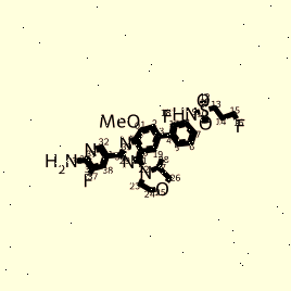 COc1cc(-c2cccc(NS(=O)(=O)CCCF)c2F)cc2c(N3CCOCC3C)nc(-c3cnc(N)c(F)c3)nc12